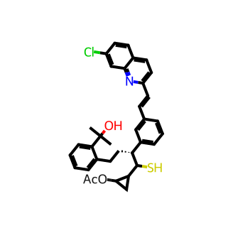 CC(=O)OC1CC1C(S)[C@H](CCc1ccccc1C(C)(C)O)c1cccc(C=Cc2ccc3ccc(Cl)cc3n2)c1